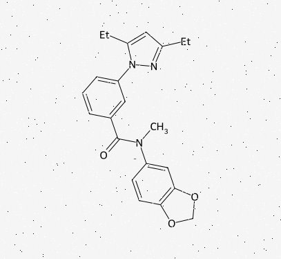 CCc1cc(CC)n(-c2cccc(C(=O)N(C)c3ccc4c(c3)OCO4)c2)n1